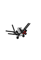 CCCCCCCCCCCCO[C@H](CCCCCCCCCCC)CC(=O)O[C@H](CCCCCCCCCCC)CC(=O)N[C@H]1[C@@H](OCc2ccccc2)O[C@H](CO[C@@H]2O[C@H](COCc3ccccc3)[C@@H](OP(=O)(OCc3ccccc3)OCc3ccccc3)[C@H](OC(=O)C[C@@H](CCCCCCCCCCC)OCCCCCCCCCCCC)[C@H]2NC(=O)OCC(Cl)(Cl)Cl)[C@@H](O)[C@@H]1OCc1ccccc1